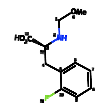 COCN[C@@H](Cc1ccccc1F)C(=O)O